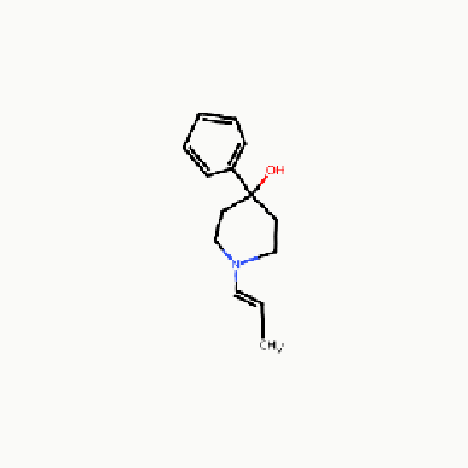 [CH2]/C=C/N1CCC(O)(c2ccccc2)CC1